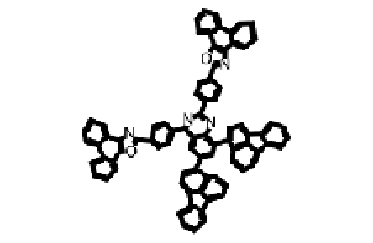 c1ccc2c(c1)-c1cccc3c(-c4cc(-c5ccc6c7c(cccc57)-c5ccccc5-6)c5nc(-c6ccc(-c7nc8c9ccccc9c9ccccc9c8o7)cc6)nc(-c6ccc(-c7nc8c9ccccc9c9ccccc9c8o7)cc6)c5c4)ccc-2c13